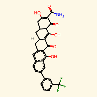 NC(=O)C1=C(O)CC2C[C@@H]3Cc4cc5ccc(-c6cccc(C(F)(F)F)c6)cc5c(O)c4C(=O)C3=C(O)C2C1=O